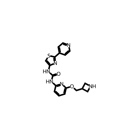 O=C(Nc1cccc(OCC2CNC2)n1)Nc1csc(-c2ccncc2)n1